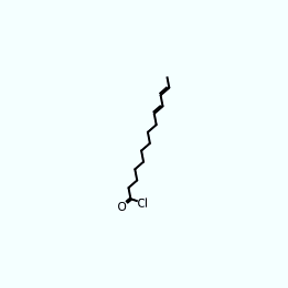 C/C=C/C=C/CCCCCCCCC(=O)Cl